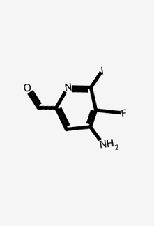 Nc1cc(C=O)nc(I)c1F